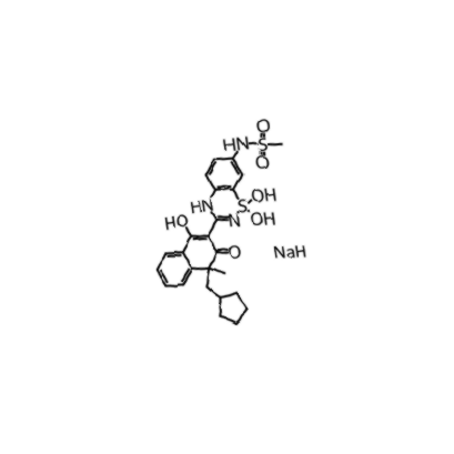 CC1(CC2CCCC2)C(=O)C(C2=NS(O)(O)c3cc(NS(C)(=O)=O)ccc3N2)=C(O)c2ccccc21.[NaH]